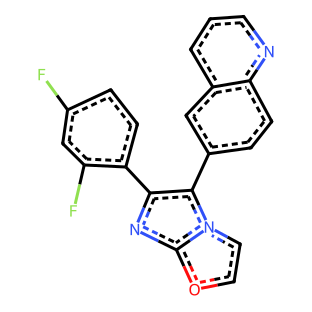 Fc1ccc(-c2nc3occn3c2-c2ccc3ncccc3c2)c(F)c1